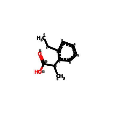 CCc1ccccc1C(C)C(=O)O